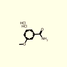 COc1cccc(C(N)=O)c1.Cl.Cl